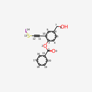 O=C(Oc1ccc(CO)cc1C#CSI)c1ccccc1